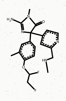 CNCc1cc(C2(c3ccc(OC(F)CF)c(C)c3)N=C(N)N(C)C2=O)ccn1